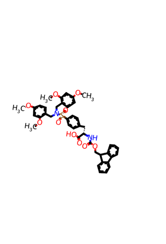 COc1ccc(CN(Cc2ccc(OC)cc2OC)S(=O)(=O)c2ccc(C[C@H](NC(=O)OCC3c4ccccc4-c4ccccc43)C(=O)O)cc2)c(OC)c1